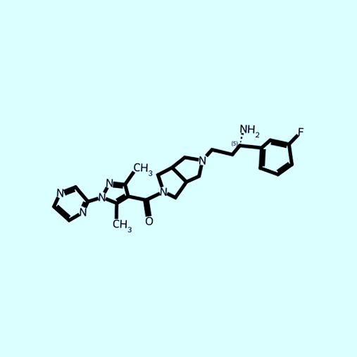 Cc1nn(-c2cnccn2)c(C)c1C(=O)N1CC2CN(CC[C@H](N)c3cccc(F)c3)CC2C1